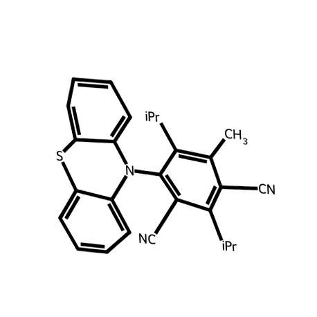 Cc1c(C#N)c(C(C)C)c(C#N)c(N2c3ccccc3Sc3ccccc32)c1C(C)C